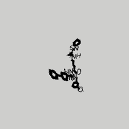 O=C(NC(CCCCN[C@@H]1C[C@H]1c1nc2ccccc2s1)C(=O)NCc1cccc(Cl)c1)c1ccc(-c2ccccc2)cc1